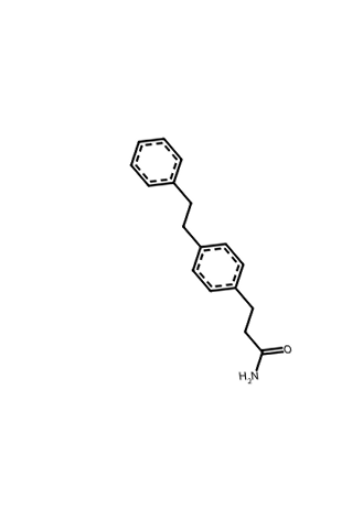 NC(=O)CCc1ccc(CCc2ccccc2)cc1